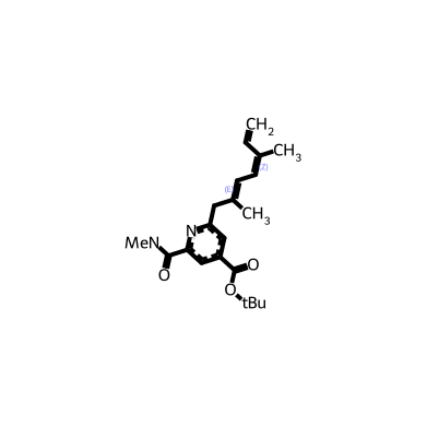 C=C/C(C)=C\C=C(/C)Cc1cc(C(=O)OC(C)(C)C)cc(C(=O)NC)n1